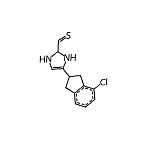 S=CC1NC=C(C2Cc3cccc(Cl)c3C2)N1